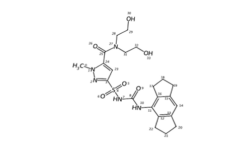 Cn1nc(S(=O)(=O)NC(=O)Nc2c3c(cc4c2CCC4)CCC3)cc1C(=O)N(CCO)CCO